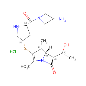 C[C@@H](O)[C@H]1C(=O)N2C(C(=O)O)=C(S[C@@H]3CN[C@H](C(=O)N4CC(N)C4)C3)[C@H](C)[C@H]12.Cl